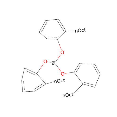 CCCCCCCCc1ccccc1[O][Bi]([O]c1ccccc1CCCCCCCC)[O]c1ccccc1CCCCCCCC